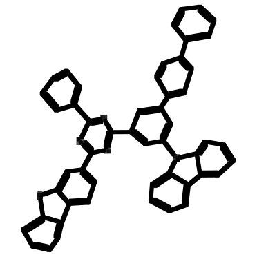 c1ccc(-c2ccc(-c3cc(-c4nc(-c5ccccc5)nc(-c5ccc6c(c5)sc5ccccc56)n4)cc(-n4c5ccccc5c5ccccc54)c3)cc2)cc1